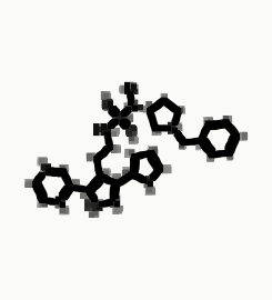 CCN([C@@H]1CCN(Cc2ccccc2)C1)S(=O)(=O)NCCc1c(-c2cccs2)n[nH]c1-c1cnccn1